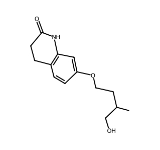 CC(CO)CCOc1ccc2c(c1)NC(=O)CC2